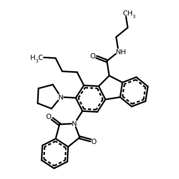 CCCCc1c2c(cc(N3C(=O)c4ccccc4C3=O)c1N1CCCC1)-c1ccccc1C2C(=O)NCCC